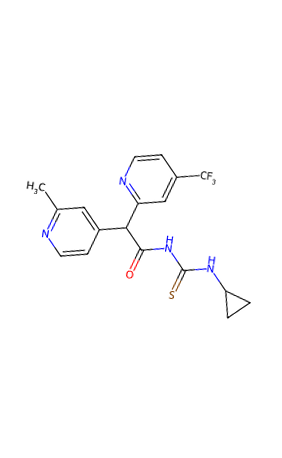 Cc1cc(C(C(=O)NC(=S)NC2CC2)c2cc(C(F)(F)F)ccn2)ccn1